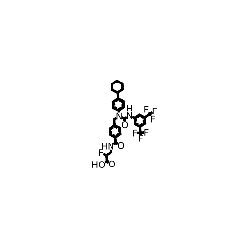 O=C(NCC(F)C(=O)O)c1ccc(CN(C(=O)Nc2cc(C(F)(F)F)cc(C(F)(F)F)c2)c2ccc(C3CCCCC3)cc2)cc1